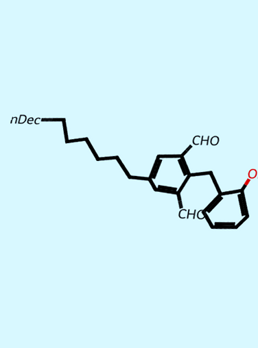 CCCCCCCCCCCCCCCCc1cc(C=O)c(Cc2ccccc2O)c(C=O)c1